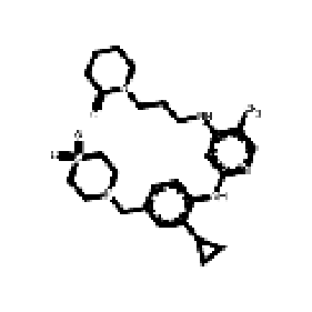 O=C1CCCCN1CCCNc1cc(Nc2ccc(CN3CCS(=O)(=O)CC3)cc2C2CC2)ncc1C(F)(F)F